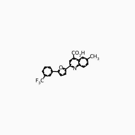 Cc1ccc2nc(-c3ccc(-c4cccc(C(F)(F)F)c4)o3)cc(C(=O)O)c2c1